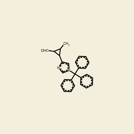 CC1C(C=O)C1c1cn(C(c2ccccc2)(c2ccccc2)c2ccccc2)cn1